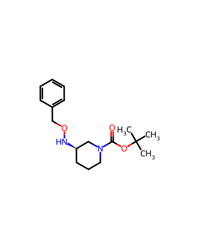 CC(C)(C)OC(=O)N1CCC[C@@H](NOCc2ccccc2)C1